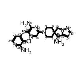 Nc1nc(N2CCC3(CC2)Cn2nncc2[C@H]3N)cnc1Sc1ccnc(N)c1Cl